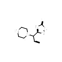 C=CC(C1=NC(=O)N=N1)N1CCNCC1